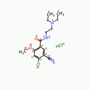 CCN(CC)CCNC(=O)c1cc(C#N)c(Cl)cc1OC.Cl